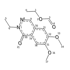 CCOC=O.CCn1ncc2cc(OC)c(OC)cc2c1=O